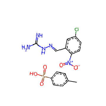 Cc1ccc(S(=O)(=O)O)cc1.N=C(N)N/N=C/c1cc(Cl)ccc1[N+](=O)[O-]